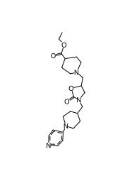 CCOC(=O)C1CCN(CC2CN(CC3CCN(c4ccncc4)CC3)C(=O)O2)CC1